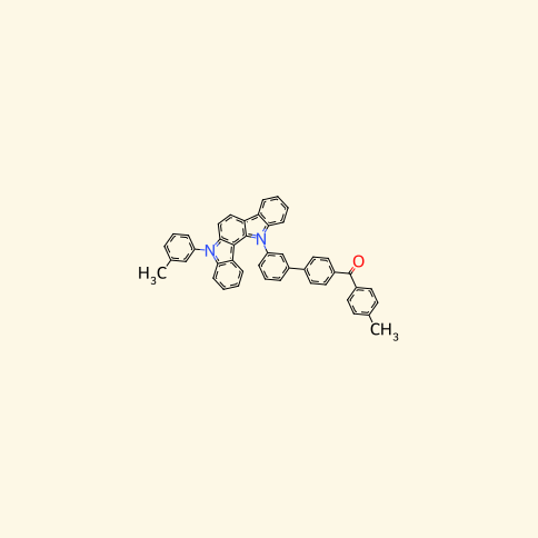 Cc1ccc(C(=O)c2ccc(-c3cccc(-n4c5ccccc5c5ccc6c(c7ccccc7n6-c6cccc(C)c6)c54)c3)cc2)cc1